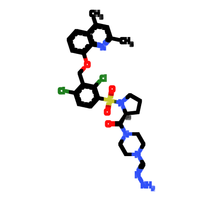 Cc1cc(C)c2cccc(OCc3c(Cl)ccc(S(=O)(=O)N4CCC[C@H]4C(=O)N4CCN(C=NN)CC4)c3Cl)c2n1